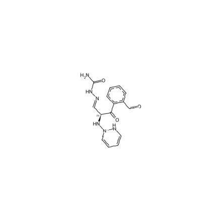 NC(=O)NN=C[C@H](NN1C=CC=CN1)C(=O)c1ccccc1C=O